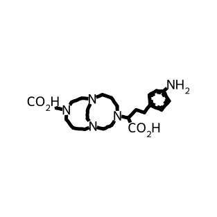 Nc1ccc(CCC(C(=O)O)N2CCCN3CCN(CCCN(CC(=O)O)CC3)CC2)cc1